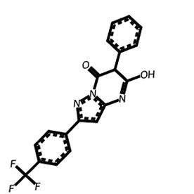 O=C1C(c2ccccc2)C(O)=Nc2cc(-c3ccc(C(F)(F)F)cc3)nn21